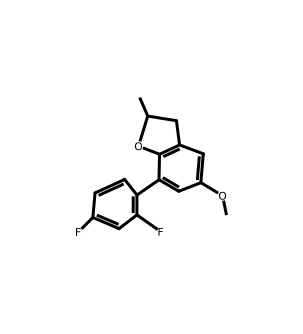 COc1cc2c(c(-c3ccc(F)cc3F)c1)OC(C)C2